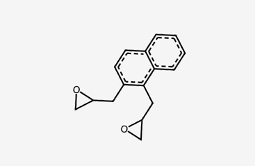 c1ccc2c(CC3CO3)c(CC3CO3)ccc2c1